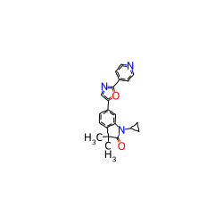 CC1(C)C(=O)N(C2CC2)c2cc(-c3cnc(-c4ccncc4)o3)ccc21